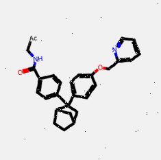 CC(=O)CNC(=O)c1ccc(C2(c3ccc(OCc4ccccn4)cc3)CC3CCC2C3)cc1